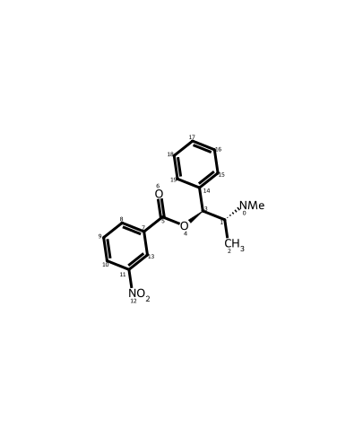 CN[C@H](C)[C@@H](OC(=O)c1cccc([N+](=O)[O-])c1)c1ccccc1